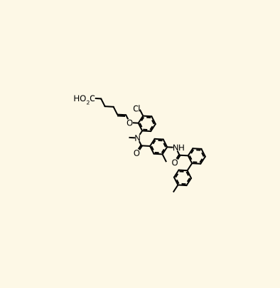 Cc1ccc(-c2ccccc2C(=O)Nc2ccc(C(=O)N(C)c3cccc(Cl)c3O/C=C/CCCC(=O)O)cc2C)cc1